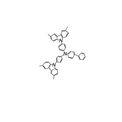 Cc1ccc2c(c1)c1cc(C)ccc1n2-c1ccc(N(c2ccc(-c3ccccc3)cc2)c2ccc(-n3c4ccc(C)cc4c4cc(C)ccc43)cc2)cc1